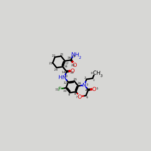 CCCN1C(=O)COc2cc(F)c(NC(=O)C3=C(C(N)=O)CCCC3)cc21